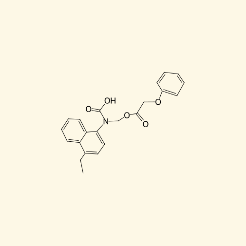 CCc1ccc(N(COC(=O)COc2ccccc2)C(=O)O)c2ccccc12